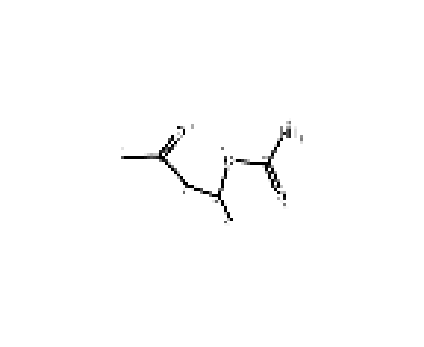 CC(=O)CC(C)OC(N)=O